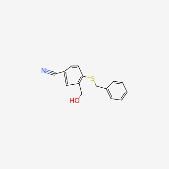 N#Cc1ccc(SCc2ccccc2)c(CO)c1